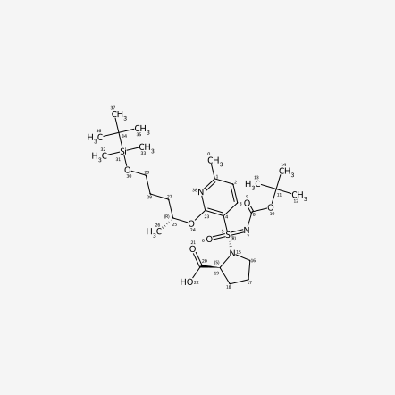 Cc1ccc([S@](=O)(=NC(=O)OC(C)(C)C)N2CCC[C@H]2C(=O)O)c(O[C@H](C)CCCO[Si](C)(C)C(C)(C)C)n1